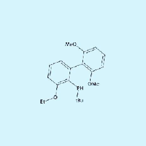 CCOc1cccc(-c2c(OC)cccc2OC)c1PC(C)(C)C